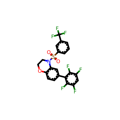 O=S(=O)(c1cccc(C(F)(F)F)c1)N1CCOc2ccc(-c3c(F)c(F)cc(F)c3F)cc21